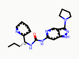 CCC[C@@H](NC(=O)Nc1cc2[nH]nc(N3CCCC3)c2cn1)c1ccccn1